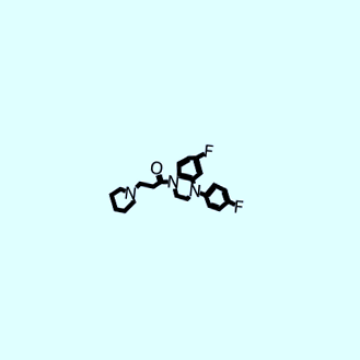 O=C(CCN1CCCCC1)N1CCN(c2ccc(F)cc2)c2cc(F)ccc21